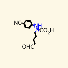 N#Cc1ccc(NN(CCCCC=O)C(=O)O)cc1